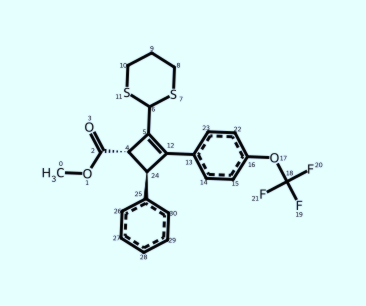 COC(=O)[C@@H]1C(C2SCCCS2)=C(c2ccc(OC(F)(F)F)cc2)[C@H]1c1ccccc1